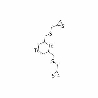 C(SCC1C[Te]CC(CSCC2CS2)[Te]1)C1CS1